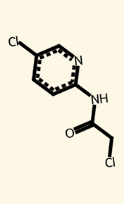 O=C(CCl)Nc1ccc(Cl)cn1